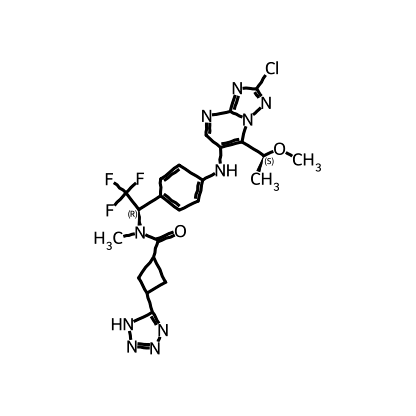 CO[C@@H](C)c1c(Nc2ccc([C@@H](N(C)C(=O)C3CC(c4nnn[nH]4)C3)C(F)(F)F)cc2)cnc2nc(Cl)nn12